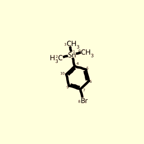 [CH3][Sn]([CH3])([CH3])[c]1ccc(Br)cc1